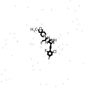 C[C@H]1CC2(CCN(c3nc4[nH]nc(C#Cc5c(F)cc(F)cc5Cl)c4nc3CF)CC2)CO1